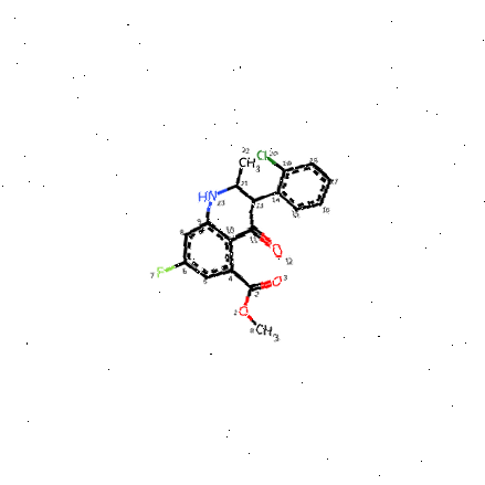 COC(=O)c1cc(F)cc2c1C(=O)C(c1ccccc1Cl)C(C)N2